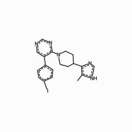 Cc1[nH]cnc1C1CCN(c2ncncc2-c2ccc(I)cc2)CC1